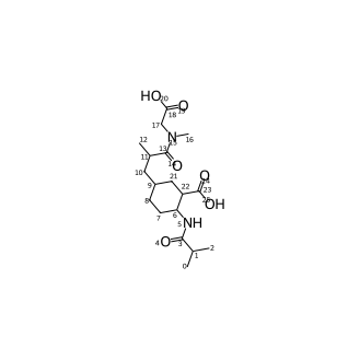 CC(C)C(=O)NC1CCC(CC(C)C(=O)N(C)CC(=O)O)CC1C(=O)O